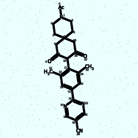 CC(=O)N1CCC2(CC1)CC(=O)C(c1c(C)cc(-c3ncc(C#N)cn3)cc1C)C(=O)C2